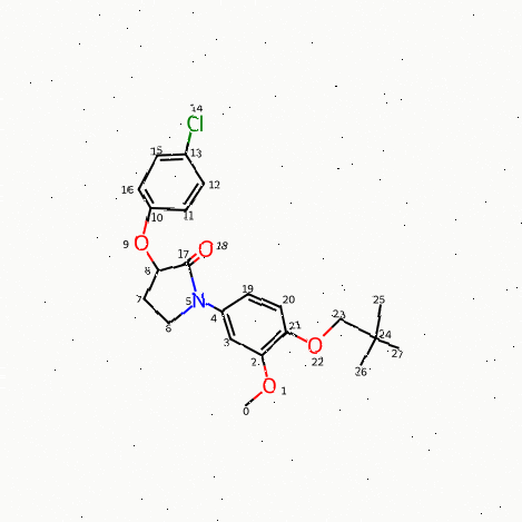 COc1cc(N2CCC(Oc3ccc(Cl)cc3)C2=O)ccc1OCC(C)(C)C